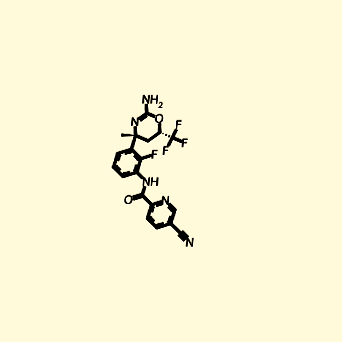 C[C@]1(c2cccc(NC(=O)c3ccc(C#N)cn3)c2F)C[C@@H](C(F)(F)F)OC(N)=N1